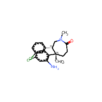 CN1C[C@@H](c2cccc(Cl)c2)[C@@](C=O)(c2ccc(Cl)cc2N)CCC1=O